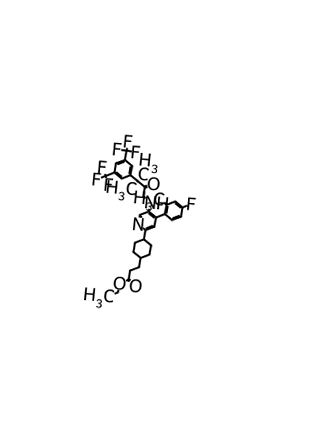 CCOC(=O)CCC1CCC(c2cc(-c3ccc(F)cc3C)c(NCC(=O)C(C)(C)c3cc(C(F)(F)F)cc(C(F)(F)F)c3)cn2)CC1